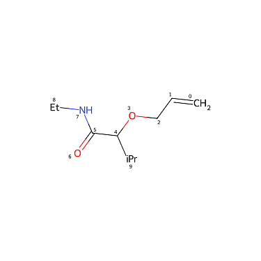 C=CCOC(C(=O)NCC)C(C)C